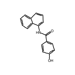 O=C(Nc1cccc2ccccc12)c1ccc(O)cc1